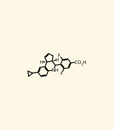 O=C(O)c1cc(F)c(C2Nc3ccc(C4CC4)cc3[C@@H]3C=CC[C@H]23)c(F)c1